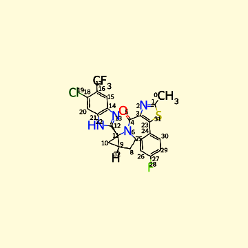 Cc1nc(C(=O)N2CC[C@@H]3C[C@@]32c2nc3cc(C(F)(F)F)c(Cl)cc3[nH]2)c(-c2ccc(F)cc2)s1